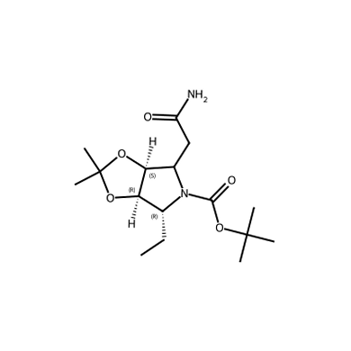 CC[C@@H]1[C@H]2OC(C)(C)O[C@H]2C(CC(N)=O)N1C(=O)OC(C)(C)C